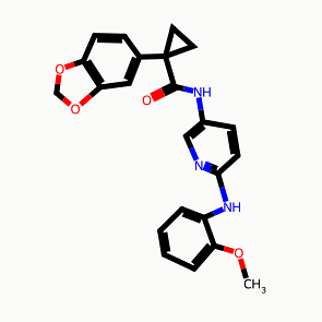 COc1ccccc1Nc1ccc(NC(=O)C2(c3ccc4c(c3)OCO4)CC2)cn1